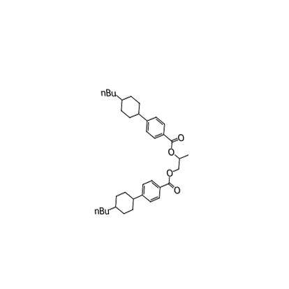 CCCCC1CCC(c2ccc(C(=O)OCC(C)OC(=O)c3ccc(C4CCC(CCCC)CC4)cc3)cc2)CC1